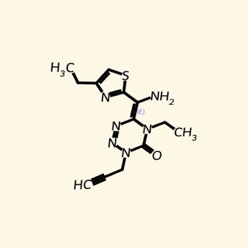 C#CCN1N=N/C(=C(/N)c2nc(CC)cs2)N(CC)C1=O